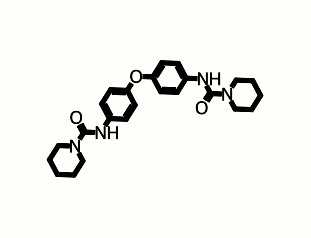 O=C(Nc1ccc(Oc2ccc(NC(=O)N3CCCCC3)cc2)cc1)N1CCCCC1